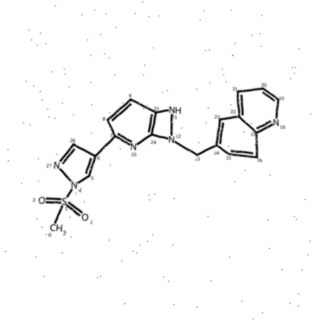 CS(=O)(=O)n1cc(-c2ccc3[nH]n(Cc4ccc5ncccc5c4)c3n2)cn1